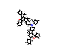 Cc1ccc(N(c2ccc3c(c2)C(C)(C)c2cc(-c4ccccc4C)c4oc5ccccc5c4c2-3)c2ccc3c(c2)C(C)(C)c2c4c(c5oc6ccccc6c5c2-3)-c2ccccc2C4(C)C)c(C)c1